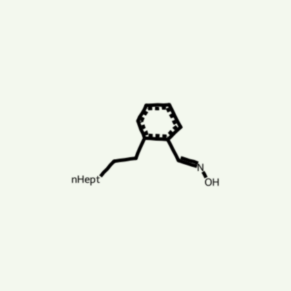 CCCCCCCCCc1ccccc1C=NO